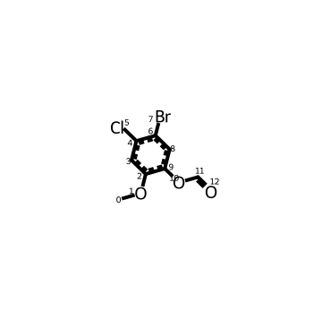 COc1cc(Cl)c(Br)cc1OC=O